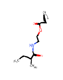 C=CC(=O)OCCNC(=O)C(C)CC